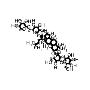 CC(C)=CCCC(C)(O[C@@H]1O[C@H](CO[C@@H]2OC[C@@H](O)[C@H](O)[C@H]2O)[C@@H](O)[C@H](O)[C@H]1O)[C@H]1CC[C@]2(C)[C@@H]1[C@H](O)CC1[C@@]3(C)C[C@@H](O)[C@H](O[C@@H]4O[C@H](CO)[C@@H](O)[C@H](O)[C@H]4O[C@@H]4O[C@H](CO)[C@@H](O)[C@H](O)[C@H]4O)C(C)(C)C3CC[C@]12C